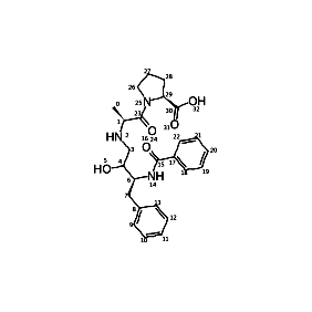 C[C@H](NCC(O)[C@H](Cc1ccccc1)NC(=O)c1ccccc1)C(=O)N1CCC[C@H]1C(=O)O